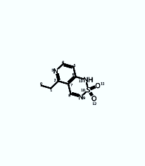 CCc1nccc2c1C=NS(=O)(=O)N2